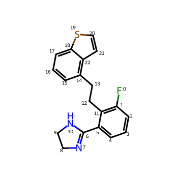 Fc1cccc(C2=NCCN2)c1CCc1cccc2sccc12